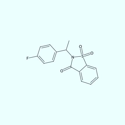 CC(c1ccc(F)cc1)N1C(=O)c2ccccc2S1(=O)=O